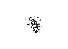 CCCSC(=O)C(C)(CC)CC(O)(C(F)(F)F)C(F)(F)F